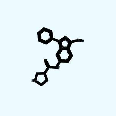 CSc1nn(-c2ccccc2)c2cc(NC(=O)C3CCNC3)ccc12